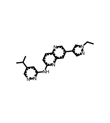 CCn1cc(-c2cnc3ccc(Nc4cc(C(C)C)cnn4)nc3c2)cn1